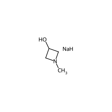 CN1CC(O)C1.[NaH]